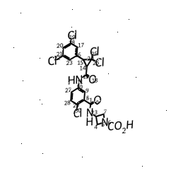 O=C(NC1CN(C(=O)O)C1)c1cc(NC(=O)C2C(c3cc(Cl)cc(Cl)c3)C2(Cl)Cl)ccc1Cl